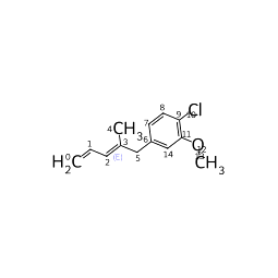 C=C/C=C(\C)Cc1ccc(Cl)c(OC)c1